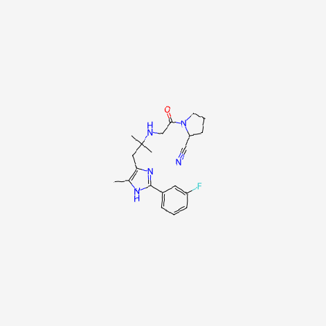 Cc1[nH]c(-c2cccc(F)c2)nc1CC(C)(C)NCC(=O)N1CCCC1C#N